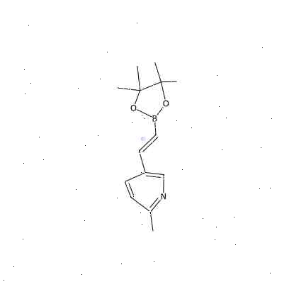 Cc1ccc(/C=C/B2OC(C)(C)C(C)(C)O2)cn1